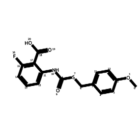 COc1ccc(CSC(=O)Nc2cccc(F)c2C(=O)O)cc1